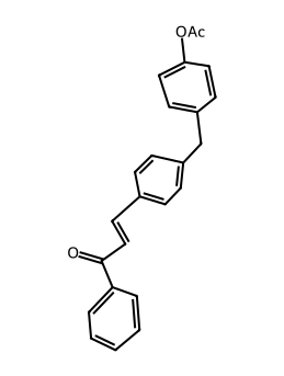 CC(=O)Oc1ccc(Cc2ccc(/C=C/C(=O)c3ccccc3)cc2)cc1